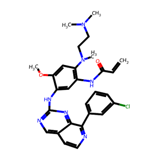 C=CC(=O)Nc1cc(Nc2ncc3ccnc(-c4cccc(Cl)c4)c3n2)c(OC)cc1N(C)CCN(C)C